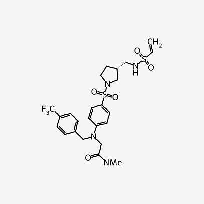 C=CS(=O)(=O)NC[C@H]1CCN(S(=O)(=O)c2ccc(N(CC(=O)NC)Cc3ccc(C(F)(F)F)cc3)cc2)C1